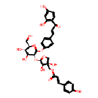 O=C(/C=C/c1ccc(O)cc1)OC[C@@]1(O)CO[C@@H](O[C@H]2[C@H](Oc3ccc(/C=C/C(=O)c4ccc(O)cc4O)cc3)O[C@H](CO)[C@@H](O)[C@@H]2O)[C@@H]1O